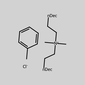 CCCCCCCCCCCC[N+](C)(C)CCCCCCCCCCCC.Cc1ccccc1.[Cl-]